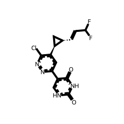 O=c1[nH]cc(-c2cc([C@H]3C[C@@H]3/C=C/C(F)F)c(Cl)nn2)c(=O)[nH]1